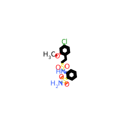 COc1cc(Cl)ccc1CCS(=O)(=O)Nc1ccccc1S(N)(=O)=O